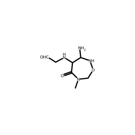 CN1CONC(N)C(NCC=O)C1=O